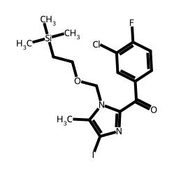 Cc1c(I)nc(C(=O)c2ccc(F)c(Cl)c2)n1COCC[Si](C)(C)C